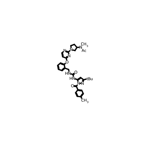 CC(=O)N(C)C1CCN(c2nccc(Oc3ccccc3CNC(=O)Nc3cc(C(C)(C)C)nn3C(=O)c3ccc(C)cc3)n2)C1